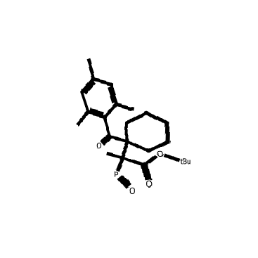 Cc1cc(C)c(C(=O)C2(C(C)(P=O)C(=O)OC(C)(C)C)CCCCC2)c(C)c1